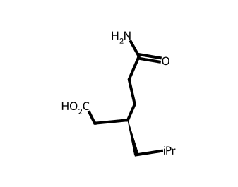 CC(C)C[C@H](CCC(N)=O)CC(=O)O